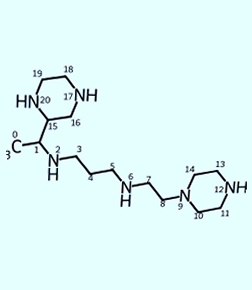 CC(NCCCNCCN1CCNCC1)C1CNCCN1